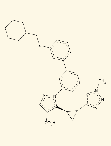 Cn1cc(C2C[C@H]2c2c(C(=O)O)cnn2-c2cccc(-c3cccc(SCC4CCCCC4)c3)c2)nn1